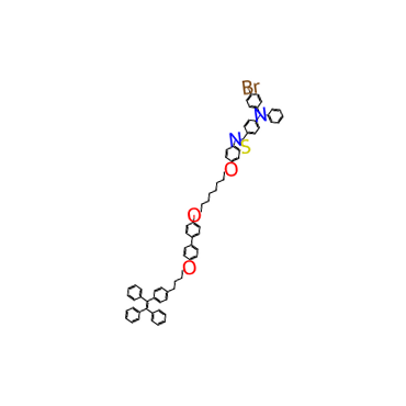 Brc1ccc(N(c2ccccc2)c2ccc(-c3nc4ccc(OCCCCCCCCOc5ccc(-c6ccc(OCCCCc7ccc(C(=C(c8ccccc8)c8ccccc8)c8ccccc8)cc7)cc6)cc5)cc4s3)cc2)cc1